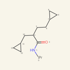 CC(C)NC(=O)C(CCC1CC1)CC1CC1